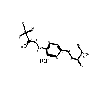 CC(CCc1ccc(OCC(=O)C(C)(C)C)cc1)N(C)C.Cl